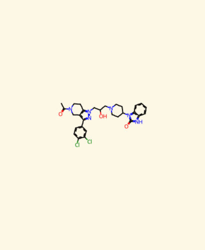 CC(=O)N1CCc2c(c(-c3ccc(Cl)c(Cl)c3)nn2CC(O)CN2CCC(n3c(=O)[nH]c4ccccc43)CC2)C1